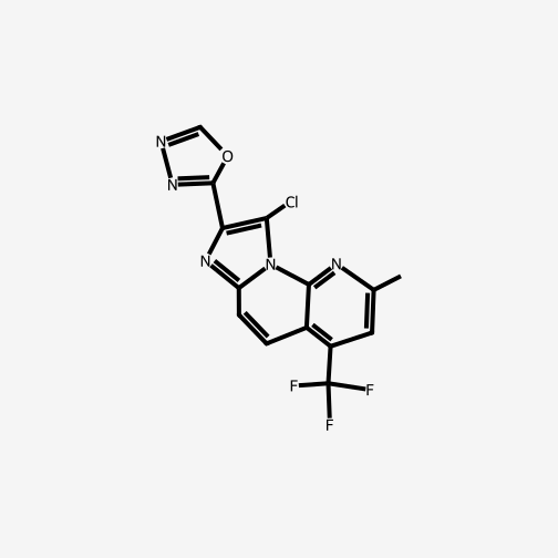 Cc1cc(C(F)(F)F)c2ccc3nc(-c4nnco4)c(Cl)n3c2n1